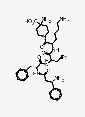 CC(C)C[C@@H](NC(=O)[C@@H](Cc1ccccc1)NC(=O)C[C@@H](N)c1ccccc1)C(=O)N[C@H](CCCCN)C(=O)N1CCC(N)(C(=O)O)CC1